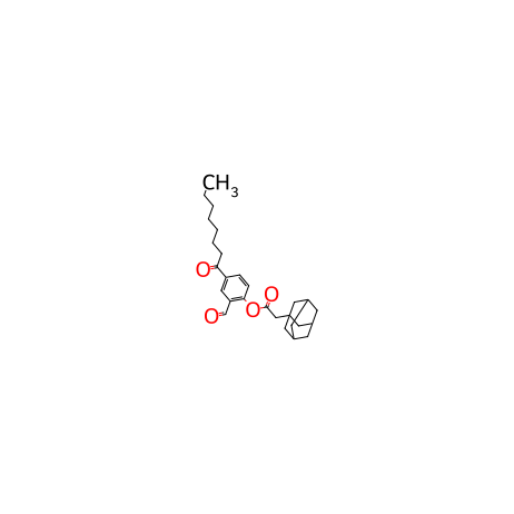 CCCCCCCC(=O)c1ccc(OC(=O)CC23CC4CC(CC(C4)C2)C3)c(C=O)c1